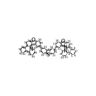 C1=CNC(c2ccccc2-c2ccc3oc4ccc(-c5ccc6sc7ccc(-c8ccc9oc%10ccc(-c%11ccccc%11-c%11ccccn%11)cc%10c9c8)cc7c6c5)cc4c3c2)C=C1